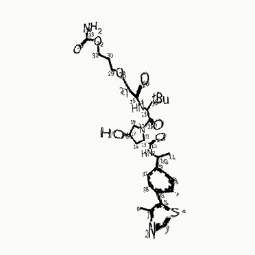 Cc1ncsc1-c1ccc(C(C)NC(=O)[C@@H]2C[C@@H](O)CN2C(=O)C(NC(=O)COCCCOC(N)=O)C(C)(C)C)cc1